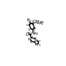 COc1cc(NC(=O)c2cn3ccnc3cn2)ccc1F